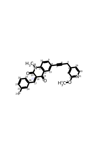 COc1cc(CC#Cc2ccc3c(c2)C(=O)/C(=C/c2cccc(F)c2)C(=O)N3C)ccn1